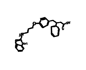 O=C(O)CC(Cc1ccc(OCCCNc2nc3ccccc3[nH]2)cc1)c1ccccc1